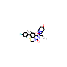 O=C1CC2CN(c3nc(=O)n4c5c(c(-c6ccc(F)cc6F)c(C(F)(F)F)cc35)SCC4)CC(C1)N2C(=O)/C=C/C(F)(F)F